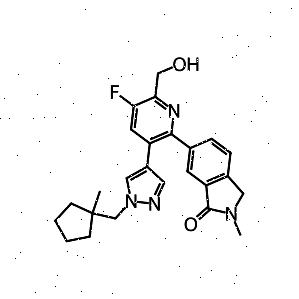 CN1Cc2ccc(-c3nc(CO)c(F)cc3-c3cnn(CC4(C)CCCC4)c3)cc2C1=O